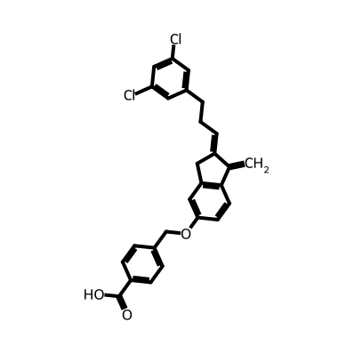 C=C1/C(=C/CCc2cc(Cl)cc(Cl)c2)Cc2cc(OCc3ccc(C(=O)O)cc3)ccc21